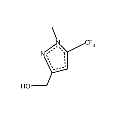 Cn1nc(CO)cc1C(F)(F)F